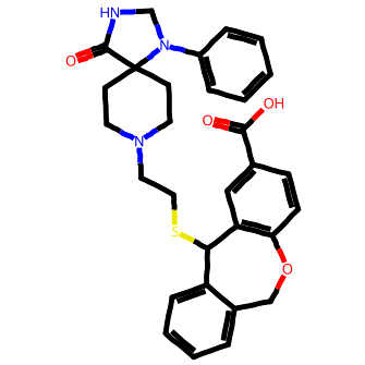 O=C(O)c1ccc2c(c1)C(SCCN1CCC3(CC1)C(=O)NCN3c1ccccc1)c1ccccc1CO2